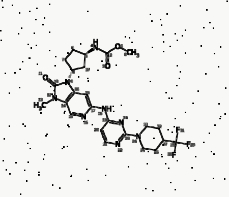 COC(=O)N[C@@H]1CC[C@@H](n2c(=O)n(C)c3cnc(Nc4ccnc(N5CCC(C(F)(F)F)CC5)n4)cc32)C1